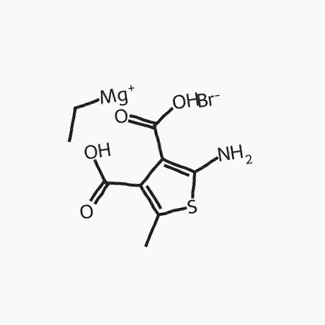 C[CH2][Mg+].Cc1sc(N)c(C(=O)O)c1C(=O)O.[Br-]